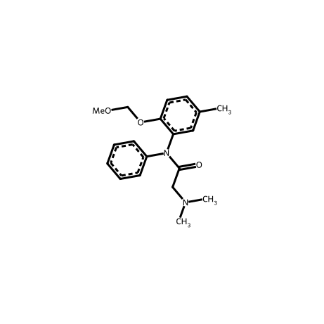 COCOc1ccc(C)cc1N(C(=O)CN(C)C)c1ccccc1